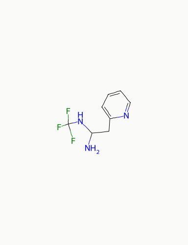 NC(Cc1ccccn1)NC(F)(F)F